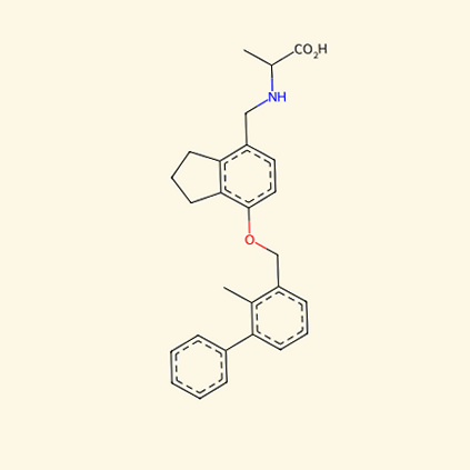 Cc1c(COc2ccc(CNC(C)C(=O)O)c3c2CCC3)cccc1-c1ccccc1